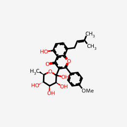 COc1ccc(-c2oc3c(CC=C(C)C)[c]cc(O)c3c(=O)c2C2(O)O[C@H](C)[C@@H](O)[C@H](O)[C@@H]2O)cc1